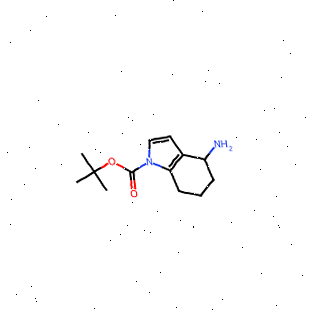 CC(C)(C)OC(=O)n1ccc2c1CCCC2N